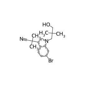 CC(C)(CO)Cn1cc(C(C)(C)C#N)c2ccc(Br)cc21